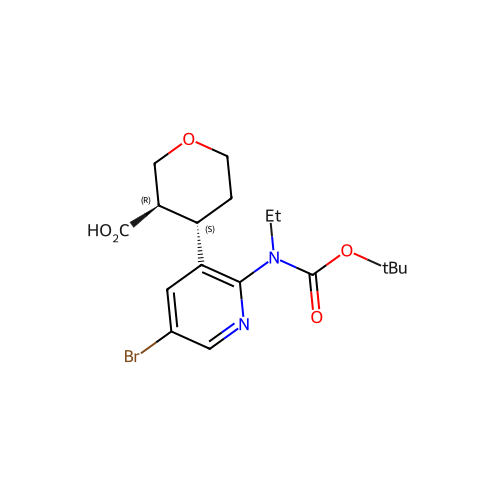 CCN(C(=O)OC(C)(C)C)c1ncc(Br)cc1[C@H]1CCOC[C@@H]1C(=O)O